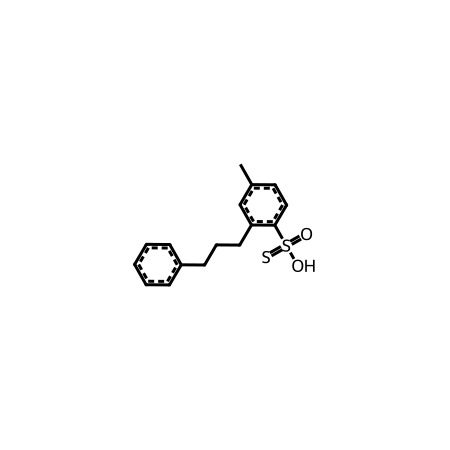 Cc1ccc(S(=O)(O)=S)c(CCCc2ccccc2)c1